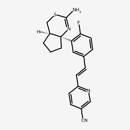 N#Cc1ccc(C=Cc2ccc(F)c([C@]34CCC[C@H]3CSC(N)=N4)c2)nc1